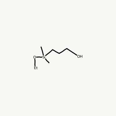 CCO[Si](C)(C)CCCO